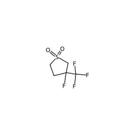 O=S1(=O)CCC(F)(C(F)(F)F)C1